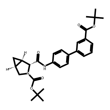 CC(C)(C)OC(=O)c1cccc(-c2ccc(NC(=O)[C@H]3[C@@H]4C[C@@H]4CN3C(=O)OC(C)(C)C)cc2)c1